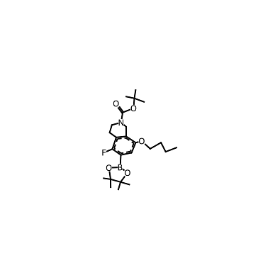 CCCCOc1cc(B2OC(C)(C)C(C)(C)O2)c(F)c2c1CN(C(=O)OC(C)(C)C)CC2